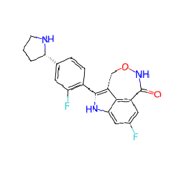 O=C1NOCc2c(-c3ccc([C@@H]4CCCN4)cc3F)[nH]c3cc(F)cc1c23